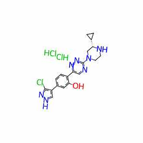 Cl.Cl.Oc1cc(-c2c[nH]nc2Cl)ccc1-c1cnc(N2CCN[C@@H](C3CC3)C2)nn1